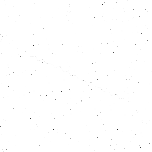 CCCCCCCCCCCCCCC(N)CCCCCCCCCC